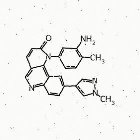 Cc1ccc(-n2c(=O)ccc3cnc4ccc(-c5cnn(C)c5)cc4c32)cc1N